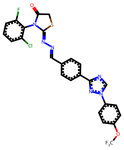 O=C1CS/C(=N\N=C\c2ccc(-c3ncn(-c4ccc(OC(F)(F)F)cc4)n3)cc2)N1c1c(F)cccc1Cl